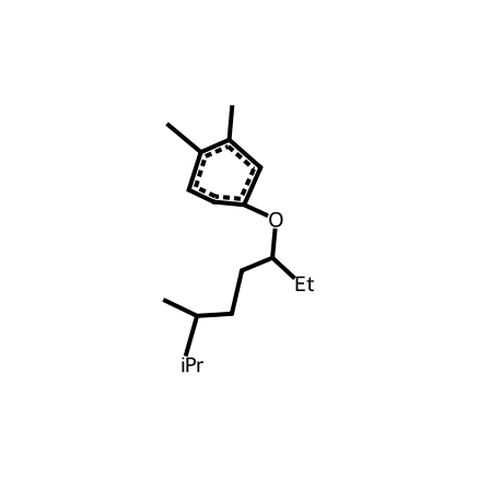 CCC(CCC(C)C(C)C)Oc1ccc(C)c(C)c1